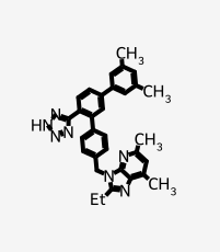 CCc1nc2c(C)cc(C)nc2n1Cc1ccc(-c2cc(-c3cc(C)cc(C)c3)ccc2-c2nn[nH]n2)cc1